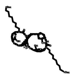 CCCCCCCCCCCCCCCCCCn1c(=O)[nH]c2ccc(cc2C)c2cc3[nH]c(=O)n(CCCCCCCCCCCCCCCCCC)c4ccc(nnc2c(C)c3nnc2ccc1cc2O)c(O)c4